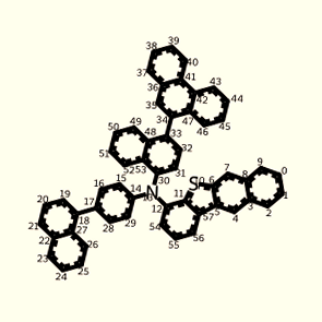 c1ccc2cc3c(cc2c1)sc1c(N(c2ccc(-c4cccc5ccccc45)cc2)c2ccc(-c4cc5ccccc5c5ccccc45)c4ccccc24)cccc13